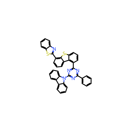 c1ccc(-c2nc(-c3cccc4sc5c(-c6nc7ccccc7s6)cccc5c34)nc(-n3c4ccccc4c4ccccc43)n2)cc1